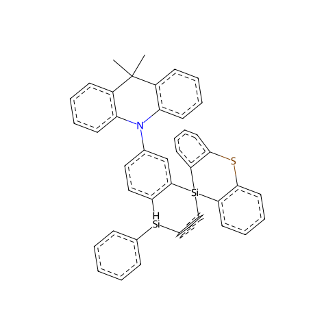 CC1(C)c2ccccc2N(c2ccc3c(c2)[Si]2(c4ccccc4Sc4ccccc42)c2ccccc2[SiH]3c2ccccc2)c2ccccc21